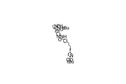 CN1CCC[C@@H]1c1cc2cnc(NC(=O)c3ccc(CCCC#Cc4ccc(C(=O)OC(C)(C)C)nc4)cc3)cc2n1C(=O)OC(C)(C)C